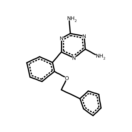 Nc1nc(N)nc(-c2ccccc2OCc2ccccc2)n1